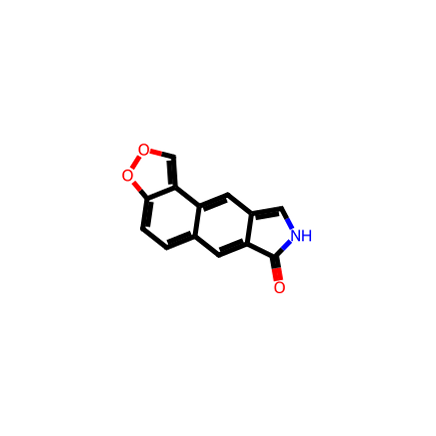 O=c1[nH]cc2cc3c(ccc4oocc43)cc12